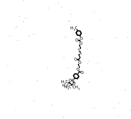 Cc1ccc(OC(=O)OCCSSCCC(=O)OCCOC(=O)c2ccc(B3OC(C)(C)C(C)(C)O3)cc2)cc1